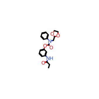 CCC(=O)Nc1cccc(OC(=O)N(CC2OCCO2)c2ccccc2)c1